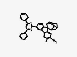 Cc1cc2c(cc1C#N)C1(c3ccc(-c4nc(-c5ccccc5)nc(-c5ccccc5)n4)cc3-2)C2CC3CC(C2)CC1C3